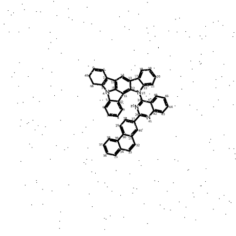 C1=Cc2c(n3c4ccccc4c4c5c(cc2c43)c2ccccc2n5-c2nc(-c3ccc4c(ccc5ccccc54)c3)nc3ccccc23)CC1